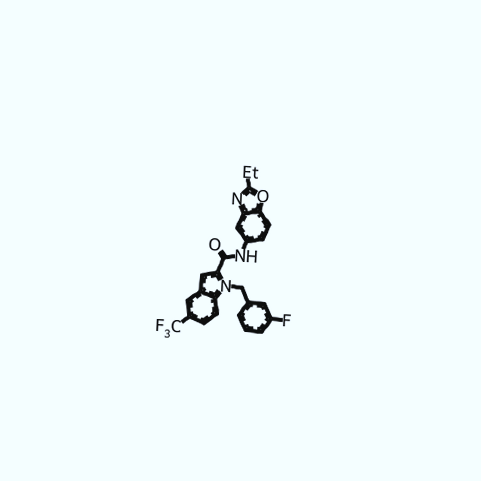 CCc1nc2cc(NC(=O)c3cc4cc(C(F)(F)F)ccc4n3Cc3cccc(F)c3)ccc2o1